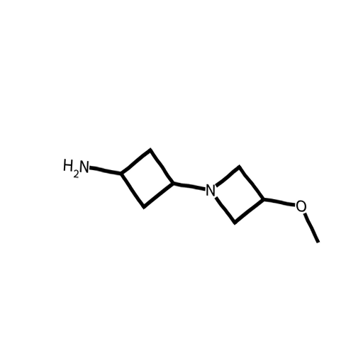 COC1CN(C2CC(N)C2)C1